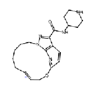 O=C(NC1CCNCC1)c1nn2c3nc(ccc13)OC/C=C/CCCCC2